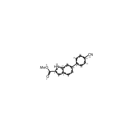 COC(=O)c1cc2ccc(-c3ccc(C#N)cc3)cc2[nH]1